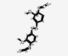 COc1cc(SSc2ccc(N=C=S)c(OC)c2)ccc1N=C=S